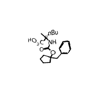 CCCC[C@](C)(NC(=O)OC1(Cc2ccccc2)CCCC1)C(=O)O